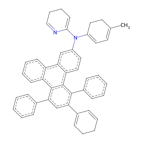 CC1=CC=C(N(C2=CCCC=N2)c2ccc3c(c2)c2ccccc2c2c(-c4ccccc4)cc(C4=CCCC=C4)c(-c4ccccc4)c32)CC1